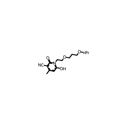 CCCOCCCOCCn1c(O)cc(C)c(C#N)c1=O